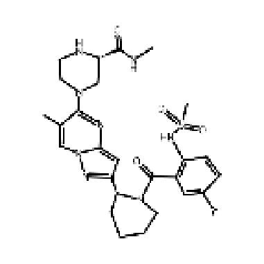 CNC(=O)[C@H]1CN(c2nc3cc([C@@H]4CCCCN4C(=O)c4cc(Cl)ccc4NS(C)(=O)=O)nn3cc2C)CCN1